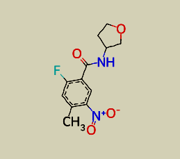 Cc1cc(F)c(C(=O)NC2CCOC2)cc1[N+](=O)[O-]